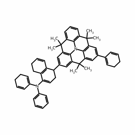 CC1(C)c2cccc3c2N2c4c1cc(C1=CCCC=C1)cc4C(C)(C)c1cc(C4CC=C(N(C5=CCCC=C5)c5ccccc5)C5=C4C=CCC5)cc(c12)C3(C)C